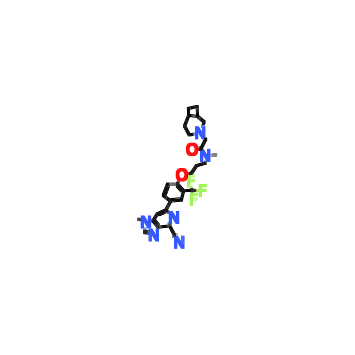 CN(CCCOc1ccc(-c2cc3c(ncn3C)c(C#N)n2)cc1C(F)(F)F)C(=O)CN1CCC2CCC2C1